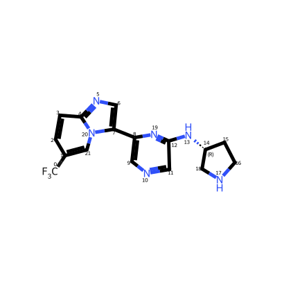 FC(F)(F)c1ccc2ncc(-c3cncc(N[C@@H]4CCNC4)n3)n2c1